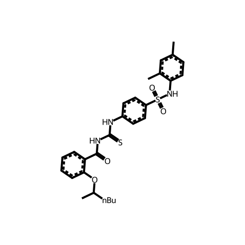 CCCCC(C)Oc1ccccc1C(=O)NC(=S)Nc1ccc(S(=O)(=O)Nc2ccc(C)cc2C)cc1